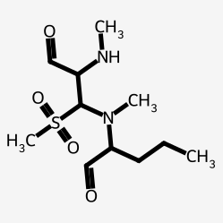 CCCC(C=O)N(C)C(C(C=O)NC)S(C)(=O)=O